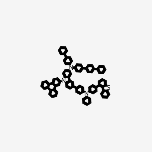 c1ccc(-c2ccc(-c3ccc(N(c4ccc(-c5ccccc5)cc4)c4ccc5c(c4)c4cc(-c6ccc(N(c7ccccc7)c7ccc(-c8cccc9sc%10ccccc%10c89)cc7)cc6)ccc4n5-c4ccc5c6ccccc6c6ccccc6c5c4)cc3)cc2)cc1